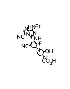 CCNc1nc(Nc2cc(C#N)cc(N3CC[C@@H](N(C)C(=O)O)[C@H](O)C3)c2F)nn2c(C#N)cnc12